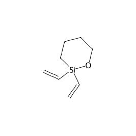 C=C[Si]1(C=C)CCCCO1